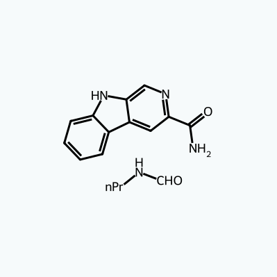 CCCNC=O.NC(=O)c1cc2c(cn1)[nH]c1ccccc12